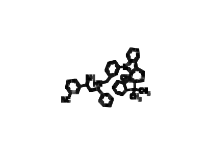 CC1(C)c2ccc3c4ccccc4n(-c4cccc(CN/C(=C\C(=N)c5cccc(C#N)c5)c5ccccc5)c4)c3c2C2(C)C=CC=CC12